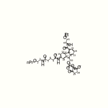 CCCOCCNC(=O)CCCC(=O)Nc1ccc2c(c1)C(COC(=O)ON1C(=O)CCC1=O)c1cccc(C(=O)NCCOCC)c1-2